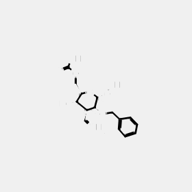 C=C[C@H]1[C@H](C)[C@@H](COC(C)=O)O[C@H](OC)[C@H]1OCc1ccccc1